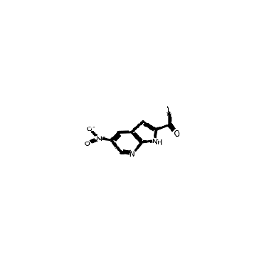 O=C(I)c1cc2cc([N+](=O)[O-])cnc2[nH]1